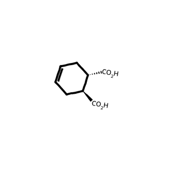 O=C(O)[C@H]1CC=CC[C@@H]1C(=O)O